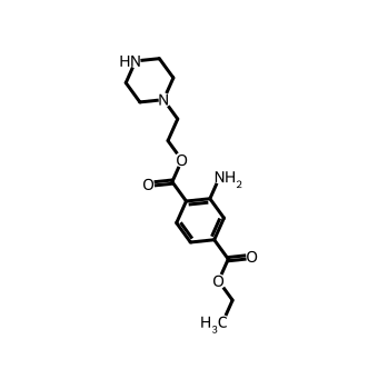 CCOC(=O)c1ccc(C(=O)OCCN2CCNCC2)c(N)c1